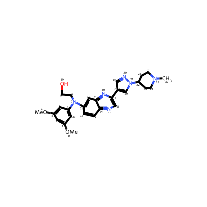 COc1cc(OC)cc(N(CCO)c2ccc3ncc(-c4cnn(C5CCN(C)CC5)c4)nc3c2)c1